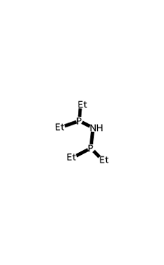 CCP(CC)NP(CC)CC